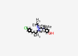 C=C(/C=C(\NC)C1C=CC(O)=CC1)/C(=N\C=C(\C)CC)N(CCC)CCC(C)CCc1ccc(Cl)cc1